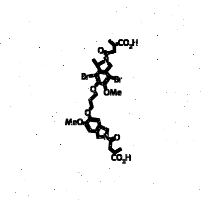 COc1cc2c(cc1OCCCOc1c(Br)c3c(c(Br)c1OC)CN(C(=O)CC(C)C(=O)O)C3C)CN(C(=O)C[C@H](C)C(=O)O)C2